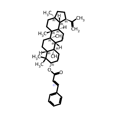 C=C(C)[C@@H]1CC[C@]2(C)CC[C@]3(C)[C@H](CC[C@@H]4[C@@]5(C)CC[C@H](OC(=O)/C=C/c6ccccc6)C(C)(C)[C@@H]5CC[C@]43C)[C@@H]12